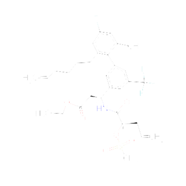 C=CCCCCc1cc(F)cc(C)c1-c1cc([C@H](CC(=O)OCC)NC(=O)[C@@H](CC=C)OS(C)(=O)=O)cc(C(F)(F)F)c1